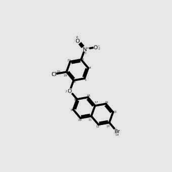 O=[N+]([O-])c1ccc(Oc2ccc3cc(Br)ccc3c2)c(Cl)c1